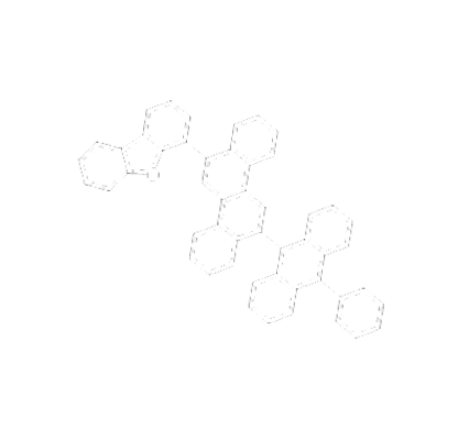 c1ccc(-c2c3ccccc3c(-c3cc4c5ccccc5c(-c5cccc6c5oc5ccccc56)cc4c4ccccc34)c3ccccc23)cc1